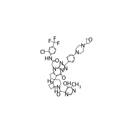 Cc1ncnc(C(=O)N2CCC3(CCc4c3c(=O)n3nc(-c5ccc(N6CCN(C7COC7)CC6)cc5)nc3n4CC(=O)Nc3ccc(C(F)(F)F)cc3Cl)[C@@H]3CC[C@@H]32)c1O